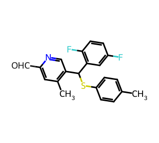 Cc1ccc(SC(c2cnc(C=O)cc2C)c2cc(F)ccc2F)cc1